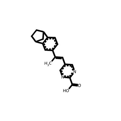 CC(=Cc1cnc(C(=O)O)nc1)c1ccc2c(c1)C1CCC2C1